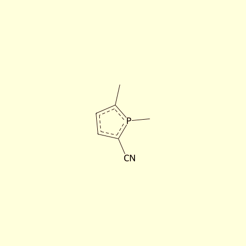 Cc1ccc(C#N)p1C